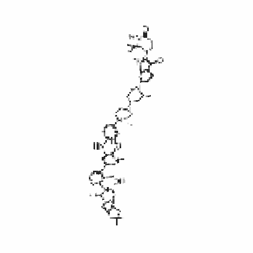 C[C@H]1C[C@@H](N2CCN(c3ccc(Nc4cc(-c5ccnc(N6CCn7c(cc8c7CC(C)(C)C8)C6=O)c5CO)cn(C)c4=O)nc3)[C@@H](C)C2)CCN1c1ccc2c(=O)n(C3CCC(=O)NC3=O)n(C)c2c1